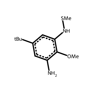 COc1c(N)cc(C(C)(C)C)cc1NSC